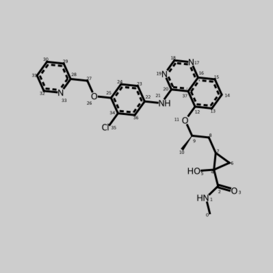 CNC(=O)C1(O)CC1C[C@@H](C)Oc1cccc2ncnc(Nc3ccc(OCc4ccccn4)c(Cl)c3)c12